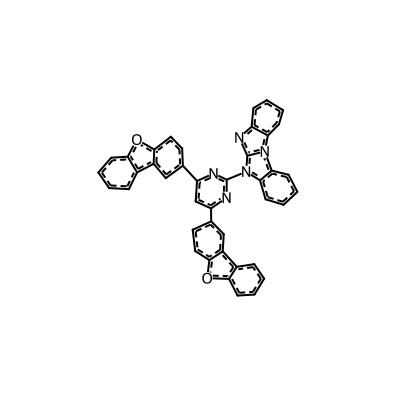 c1ccc2c(c1)nc1n(-c3nc(-c4ccc5oc6ccccc6c5c4)cc(-c4ccc5oc6ccccc6c5c4)n3)c3ccccc3n21